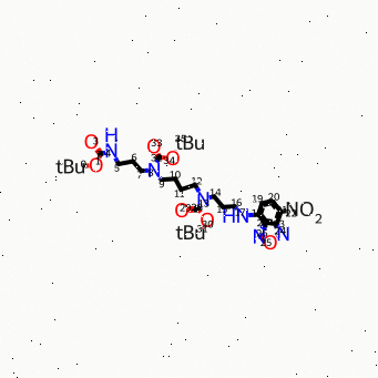 CC(C)(C)OC(=O)NCCCN(CCCCN(CCCNc1ccc([N+](=O)[O-])c2nonc12)C(=O)OC(C)(C)C)C(=O)OC(C)(C)C